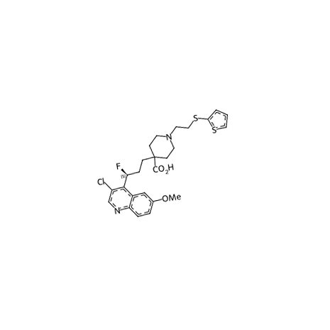 COc1ccc2ncc(Cl)c([C@@H](F)CCC3(C(=O)O)CCN(CCSc4cccs4)CC3)c2c1